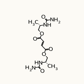 C[C@@H](COC(=O)/C=C/C(=O)OC[C@H](C)NC(N)=O)NC(N)=O